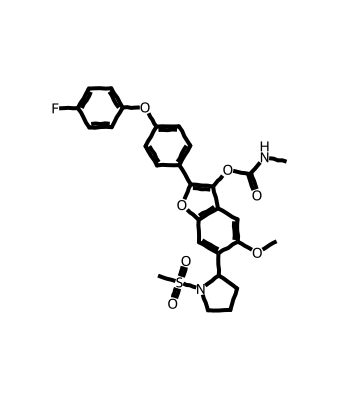 CNC(=O)Oc1c(-c2ccc(Oc3ccc(F)cc3)cc2)oc2cc(C3CCCN3S(C)(=O)=O)c(OC)cc12